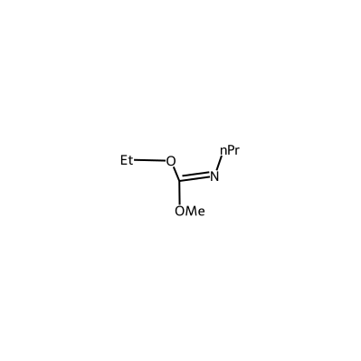 CCCN=C(OC)OCC